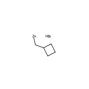 Br.[Zn][CH2]C1CCC1